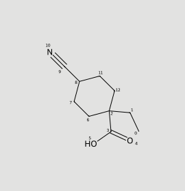 CCC1(C(=O)O)CCC(C#N)CC1